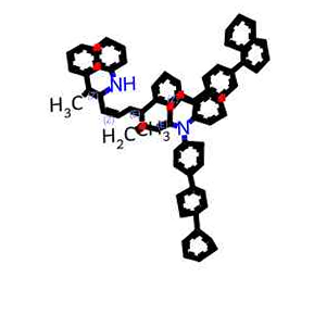 C=C/C=C(\C=C/Cc1ccc(-c2cccc3ccccc23)cc1)N(c1ccc(-c2ccc(-c3ccccc3)cc2)cc1)c1ccccc1-c1cccc(/C(C)=C/C=C\C(Nc2ccccc2)=C(/C)c2ccccc2)c1